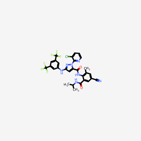 Cc1cc(C#N)cc(C(=O)NC(C)C)c1NC(=O)c1cc(Nc2cc(C(F)(F)F)cc(C(F)(F)F)c2)nn1-c1ncccc1Cl